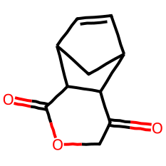 O=C1COC(=O)C2C3C=CC(C3)C12